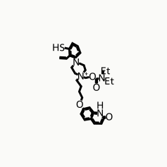 C=Cc1c(S)cccc1N1CC[N+](CCCCOc2ccc3ccc(=O)[nH]c3c2)(COC(=O)N(CC)CC)CC1